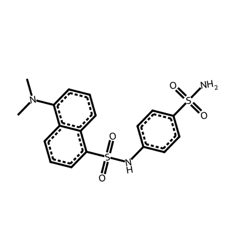 CN(C)c1cccc2c(S(=O)(=O)Nc3ccc(S(N)(=O)=O)cc3)cccc12